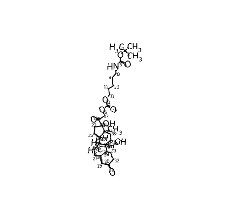 CC(C)(C)OC(=O)NCCCCCOC(=O)OCC(=O)[C@@]1(O)CC[C@H]2[C@@H]3CCC4=CC(=O)CC[C@]4(C)[C@H]3[C@@H](O)C[C@@]21C